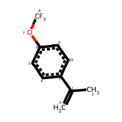 C=C(C)c1ccc(OC(F)(F)F)cc1